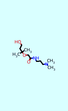 CN(C)CCCNC(=O)COC(C)(C)CCO